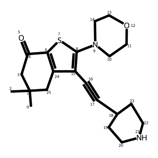 CC1(C)CC(=O)c2sc(N3CCOCC3)c(C#CC3CCNCC3)c2C1